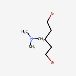 BrCCCCCBr.CN(C)C